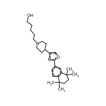 CC1(C)CCC(C)(C)c2cc(-c3nc(C4CCN(CCCCCO)CC4)co3)ccc21